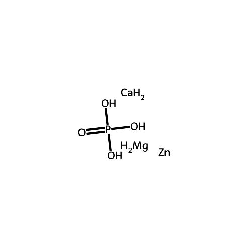 O=P(O)(O)O.[CaH2].[MgH2].[Zn]